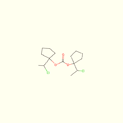 CC(Cl)C1(OC(=O)OC2(C(C)Cl)CCCC2)CCCC1